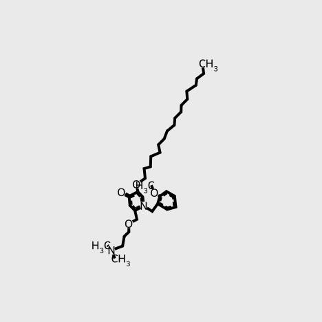 CCCCCCCCCCCCCCCCCCOc1cn(Cc2ccccc2OC)c(COCCCN(C)C)cc1=O